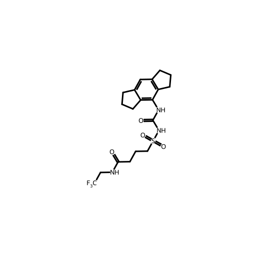 O=C(CCCS(=O)(=O)NC(=O)Nc1c2c(cc3c1CCC3)CCC2)NCC(F)(F)F